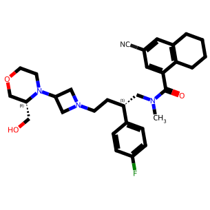 CN(C[C@@H](CCN1CC(N2CCOC[C@H]2CO)C1)c1ccc(F)cc1)C(=O)c1cc(C#N)cc2c1CCCC2